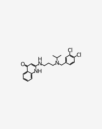 CC(C)N(CCCNc1cc(=O)c2ccccc2[nH]1)Cc1ccc(Cl)c(Cl)c1